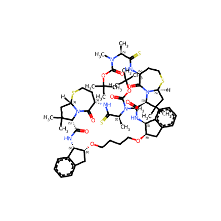 C[C@@H](C(=S)N[C@H]1CCS[C@H]2CC(C)(C)[C@@H](C(=O)N[C@H]3c4ccccc4C[C@H]3OCCCCO[C@@H]3Cc4ccccc4[C@@H]3NC(=O)[C@H]3N4C(=O)[C@@H](NC(=S)[C@H](C)N(C)C(=O)OC(C)(C)C)CCS[C@H]4CC3(C)C)N2C1=O)N(C)C(=O)OC(C)(C)C